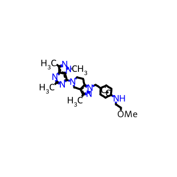 COCCNC12CCC(Cn3nc(C)c4c3CCN(c3nc(C)nc5c(C)nn(C)c35)C4)(CC1)CC2